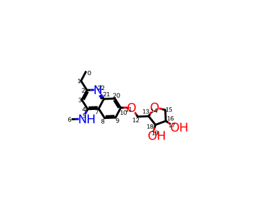 CCc1cc(NC)c2ccc(OCC3OCC(O)C3O)cc2n1